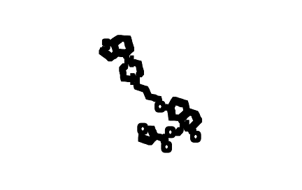 O=C(OCn1c(=O)ccc2ccc(OCCCCN3CCN(c4cccc5sccc45)CC3)cc21)c1ccoc1